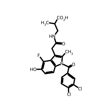 Cc1c(CC(=O)NCC(C)C(=O)O)c2c(F)c(O)ccc2n1C(=O)c1ccc(Cl)c(Cl)c1